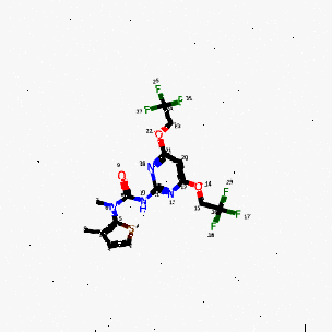 Cc1ccsc1N(C)C(=O)Nc1nc(OCC(F)(F)F)cc(OCC(F)(F)F)n1